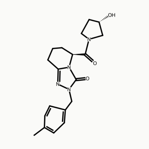 Cc1ccc(Cn2nc3n(c2=O)[C@H](C(=O)N2CC[C@H](O)C2)CCC3)cc1